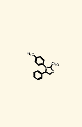 Cc1ccc(N2C(C=O)OCC2c2ccccc2)cc1